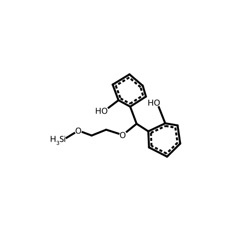 Oc1ccccc1C(OCCO[SiH3])c1ccccc1O